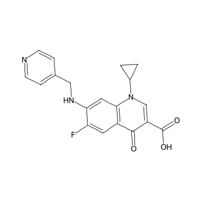 O=C(O)c1cn(C2CC2)c2cc(NCc3ccncc3)c(F)cc2c1=O